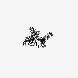 CC(C)(C)c1ccc(-c2cc(-c3cc(-c4ccccc4)nc(-c4ccc(-c5ccccc5)cc4)n3)cc(-c3ccccc3)c2-n2c3ccc(-c4ccccc4)cc3c3cc(-c4ccccc4)ccc32)cc1